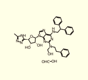 Cc1nnc([C@H]2O[C@@H](n3cnc4c(NCC(c5ccccc5)c5ccccc5)nc(N(CO)CCc5ccccc5)nc43)[C@H](O)[C@@H]2O)[nH]1.O=CO